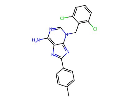 Cc1ccc(-c2nc3c(N)ncn(Cc4c(Cl)cccc4Cl)c-3n2)cc1